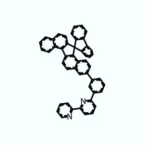 c1ccc(-c2cccc(-c3cccc(-c4ccc5c6c(ccc5c4)-c4c(ccc5ccccc45)C64c5ccccc5-c5ccccc54)c3)n2)nc1